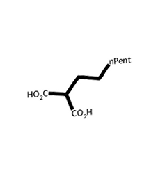 [CH2]CCCCCCC(C(=O)O)C(=O)O